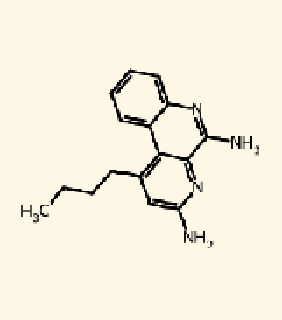 CCCCc1cc(N)nc2c(N)nc3ccccc3c12